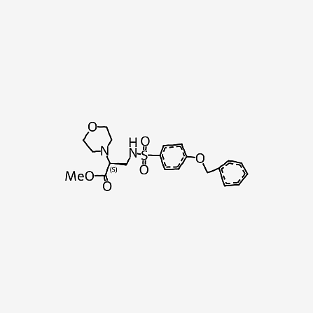 COC(=O)[C@H](CNS(=O)(=O)c1ccc(OCc2ccccc2)cc1)N1CCOCC1